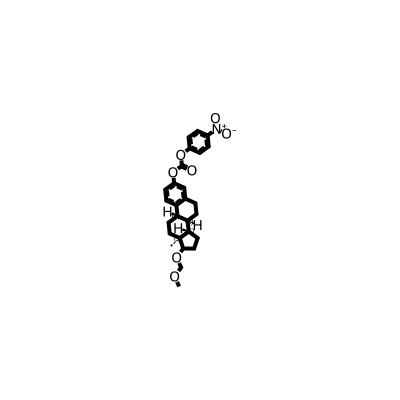 COCOC1CC[C@H]2[C@@H]3CCc4cc(OC(=O)Oc5ccc([N+](=O)[O-])cc5)ccc4[C@H]3CC[C@]12C